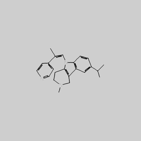 C/C(=C/n1c2c(c3cc(C(C)C)ccc31)CN(C)CC2)c1ccncc1